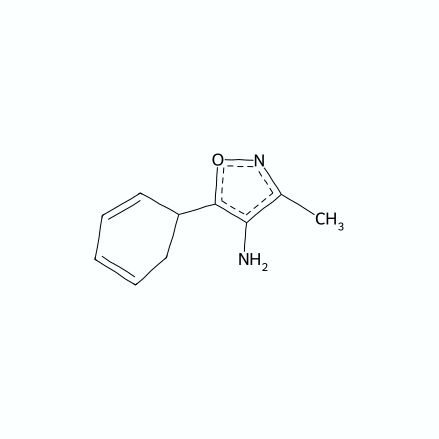 Cc1noc(C2C=CC=CC2)c1N